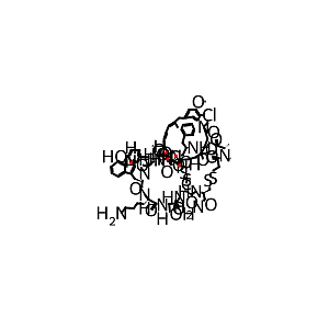 COc1cc2cc(c1Cl)N(C)C(=O)C[C@H](OC(=O)[C@H](C)N(C)C(=O)CCSSC[C@H](NC(=O)[C@@H]1CSSC[C@H](NC(=O)[C@H](N)Cc3ccccc3)C(=O)N[C@@H](Cc3ccc(O)cc3)C(O)N[C@H](Cc3c[nH]c4ccccc34)C(=O)N[C@@H](CCCCN)C(=O)N[C@@H]([C@@H](C)O)C(=O)N1)C(N)=O)[C@]1(C)O[C@H]1[C@H](C)[C@@H]1C[C@@](O)(NC(=O)O1)[C@H](OC)/C=C/C=C(\C)C2